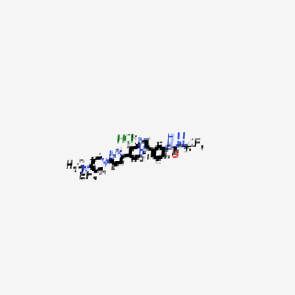 CN(C)C1CCN(c2ccc(-c3ccn4c(-c5cccc(NC(=O)NCC(F)(F)F)c5)cnc4c3)nn2)CC1.Cl